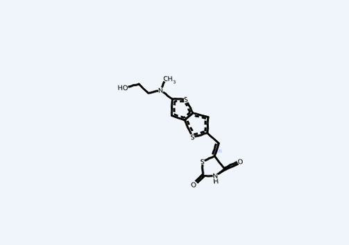 CN(CCO)c1cc2sc(/C=C3\SC(=O)NC3=O)cc2s1